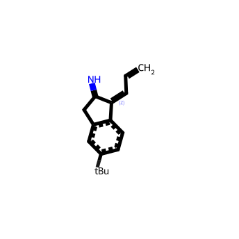 C=C/C=C1\C(=N)Cc2cc(C(C)(C)C)ccc21